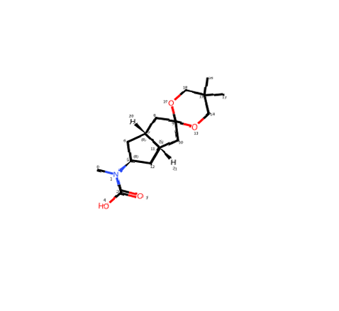 CN(C(=O)O)[C@H]1C[C@@H]2CC3(C[C@@H]2C1)OCC(C)(C)CO3